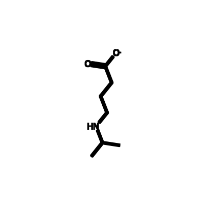 CC(C)NCCCC([O])=O